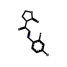 O=C(/C=C/c1ccc(Cl)cc1F)N1CCOC1=O